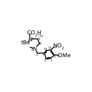 COc1ccc(CN(C)C[C@@H](C)N(C(=O)O)C(C)(C)C)cc1[N+](=O)[O-]